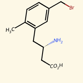 Cc1ccc(CBr)cc1C[C@H](N)CC(=O)O